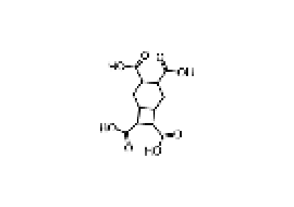 O=C(O)C1CC2C(CC1C(=O)O)C(C(=O)O)C2C(=O)O